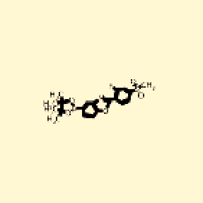 CC1(C)OB(c2ccc3oc(-c4ccc(S(C)(=O)=O)cc4F)nc3c2)OC1(C)C